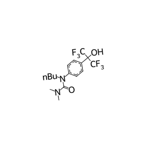 CCCCN(C(=O)N(C)C)c1ccc(C(O)(C(F)(F)F)C(F)(F)F)cc1